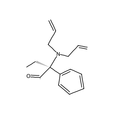 C=CCN(CC=C)[C@@]([C]=O)(CC)c1ccccc1